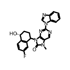 Cn1c(=O)n(C2CC[C@@H](O)c3ccc(F)cc32)c2nc(-n3cnc4ccccc43)ncc21